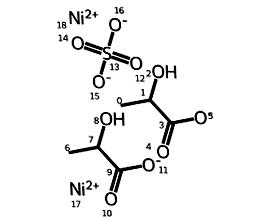 CC(O)C(=O)[O-].CC(O)C(=O)[O-].O=S(=O)([O-])[O-].[Ni+2].[Ni+2]